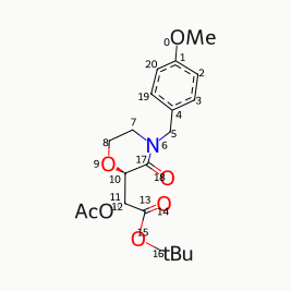 COc1ccc(CN2CCO[C@H]([C@@H](OC(C)=O)C(=O)OC(C)(C)C)C2=O)cc1